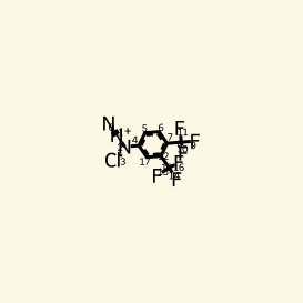 N#[N+]N(Cl)c1ccc(C(F)(F)F)c(C(F)(F)F)c1